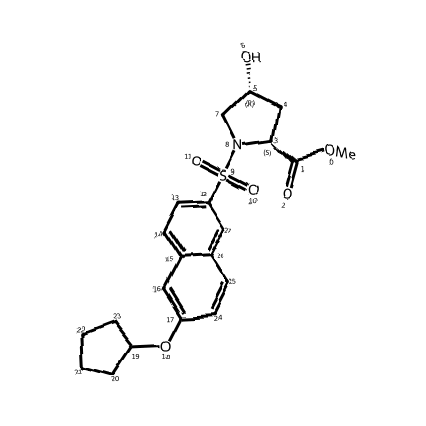 COC(=O)[C@@H]1C[C@@H](O)CN1S(=O)(=O)c1ccc2cc(OC3CCCC3)ccc2c1